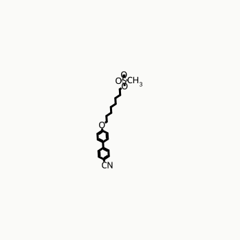 CS(=O)(=O)OCCCCCCCCOc1ccc(-c2ccc(C#N)cc2)cc1